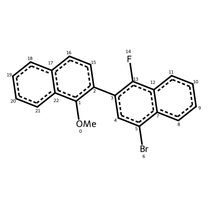 COc1c(-c2cc(Br)c3ccccc3c2F)ccc2ccccc12